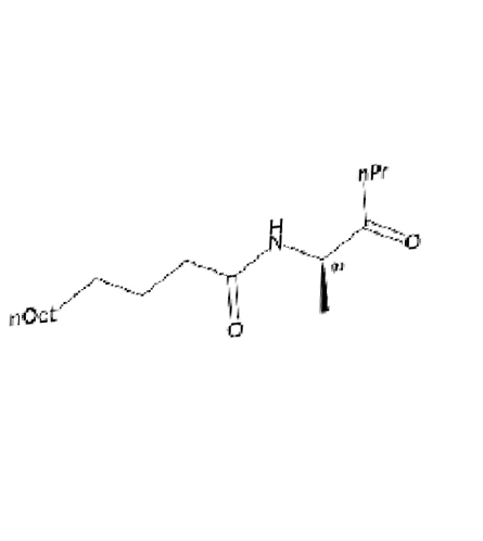 [CH2]CCC(=O)[C@@H](C)NC(=O)CCCCCCCCCCC